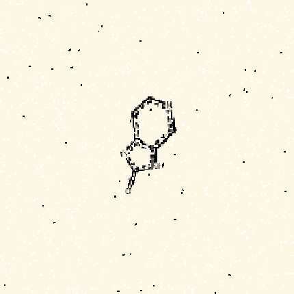 O=c1[nH]c2cnccc2o1